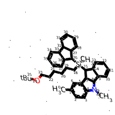 Cc1ccc2c(c1)C1C(C3C=CC=CC3C1[Si](C)(CCCCCCOC(C)(C)C)C1C3C=CC=CC3C3C=CC=CC31)N2C